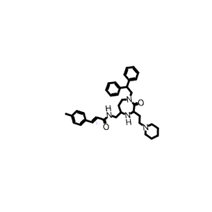 Cc1ccc(/C=C/C(=O)NCC2CCN(CC(c3ccccc3)c3ccccc3)C(=O)C(CCN3CCCCC3)N2)cc1